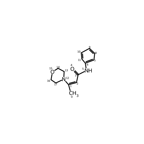 CC(=CC(=O)Nc1ccccc1)N1CCOCC1